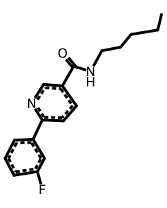 CCCCCNC(=O)c1ccc(-c2cccc(F)c2)nc1